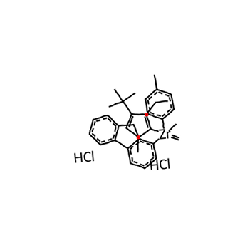 Cl.Cl.[CH2]=[Zr]([CH3])([C]1=C(CC)C(C(C)(C)C)=CC1C)([c]1ccc(C)cc1)[c]1cccc2c1Cc1ccccc1-2